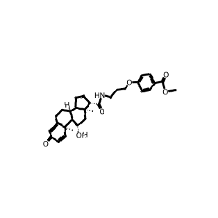 COC(=O)c1ccc(OCCCNC(=O)[C@H]2CCC3[C@@H]4CCC5=CC(=O)C=C[C@]5(C)C4[C@@H](O)C[C@@]32C)cc1